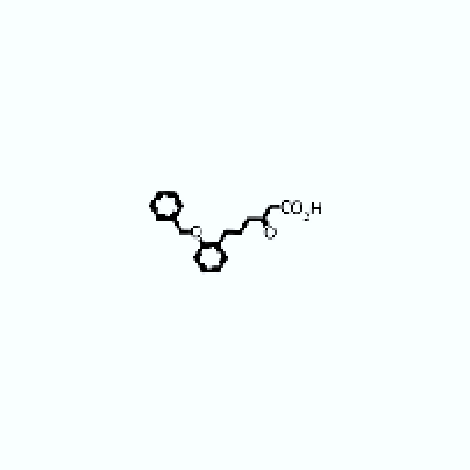 O=C(O)CC(=O)CCCc1ccccc1OCc1ccccc1